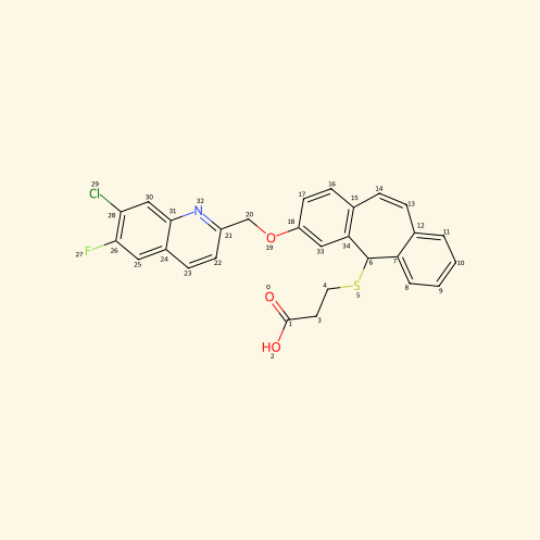 O=C(O)CCSC1c2ccccc2C=Cc2ccc(OCc3ccc4cc(F)c(Cl)cc4n3)cc21